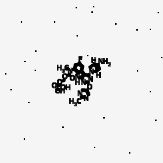 Cc1ncc(Oc2nc(N3C[C@H]4C[C@@H]3C[C@H]4N)c3c(n2)[nH]c2c(N(C)C(=O)OCOP(=O)(O)O)cc(F)cc23)cn1